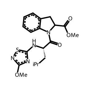 COC(=O)C1Cc2ccccc2N1C(=O)[C@H](CC(C)C)Nc1nc(OC)ns1